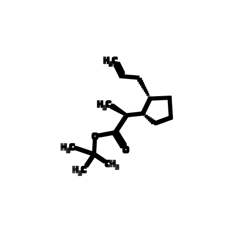 C=CC[C@@H]1CCC[C@@H]1[C@H](C)C(=O)OC(C)(C)C